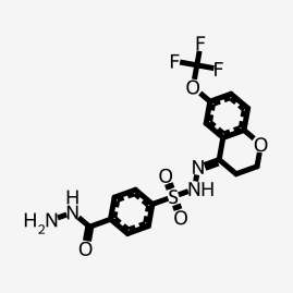 NNC(=O)c1ccc(S(=O)(=O)NN=C2CCOc3ccc(OC(F)(F)F)cc32)cc1